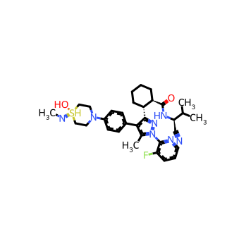 CN=[SH]1(O)CCN(c2ccc(-c3c([C@@H]4CCCC[C@H]4C(=O)N[C@H](C#N)C(C)C)nn(-c4ncccc4F)c3C)cc2)CC1